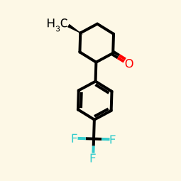 C[C@H]1CCC(=O)C(c2ccc(C(F)(F)F)cc2)C1